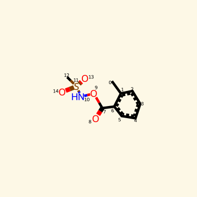 Cc1ccccc1C(=O)ONS(C)(=O)=O